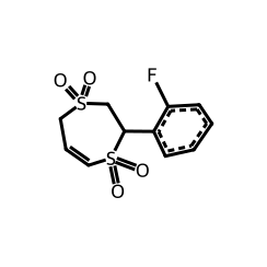 O=S1(=O)CC=CS(=O)(=O)C(c2ccccc2F)C1